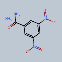 N.NC(=O)c1cc([N+](=O)[O-])cc([N+](=O)[O-])c1